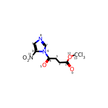 O=C(CCC(=O)n1cncc1[N+](=O)[O-])OC(Cl)(Cl)Cl